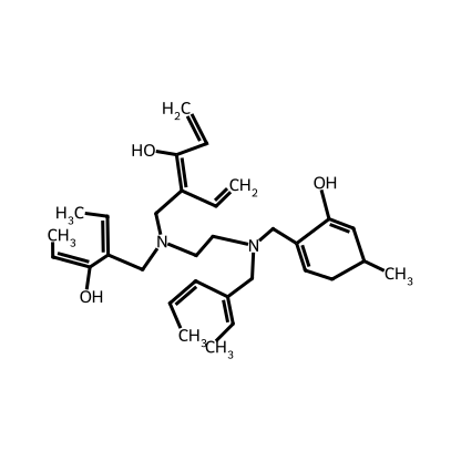 C=C/C(O)=C(\C=C)CN(CCN(CC1=CCC(C)C=C1O)CC(/C=C\C)=C/C)CC(=C/C)/C(O)=C\C